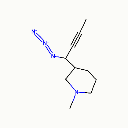 CC#CC(N=[N+]=[N-])C1CCCN(C)C1